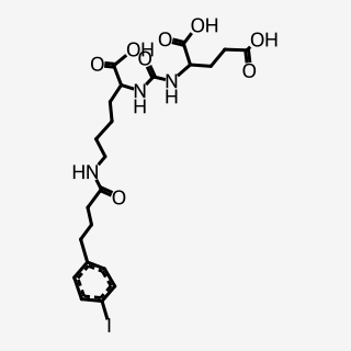 O=C(O)CCC(NC(=O)NC(CCCCNC(=O)CCCc1ccc(I)cc1)C(=O)O)C(=O)O